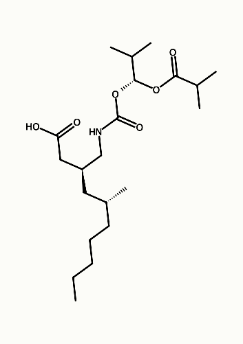 CCCCC[C@@H](C)C[C@H](CNC(=O)O[C@@H](OC(=O)C(C)C)C(C)C)CC(=O)O